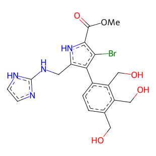 COC(=O)c1[nH]c(CNc2ncc[nH]2)c(-c2ccc(CO)c(CO)c2CO)c1Br